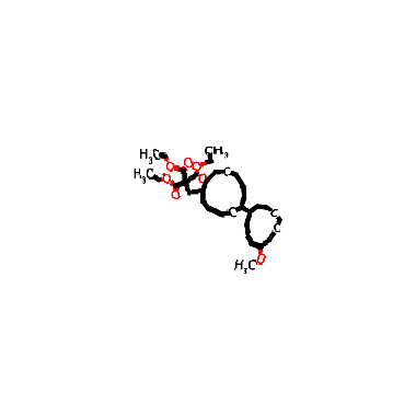 CCOC(=O)C(CC1CCCCCCC(C2CCCCCCC(OC)CCC2)CCCC1)(C(=O)OCC)C(=O)OCC